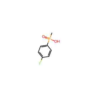 CP(=O)(O)c1ccc(F)cc1